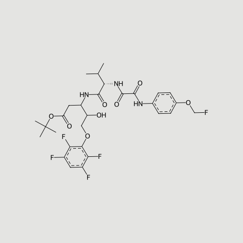 CC(C)[C@H](NC(=O)C(=O)Nc1ccc(OCF)cc1)C(=O)NC(CC(=O)OC(C)(C)C)C(O)COc1c(F)c(F)cc(F)c1F